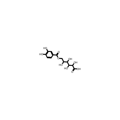 O=C(OCC(O)C(O)C(O)C(O)C(=O)O)c1ccc(O)c(O)c1